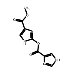 COC(=O)c1c[nH]c(OC(=O)c2c[nH]cn2)n1